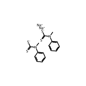 CN(C(=S)[S-])c1ccccc1.CN(C(=S)[S-])c1ccccc1.[Na+].[Na+]